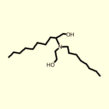 CCCCCCCCC(CO)N(CCO)CCCCCCCC